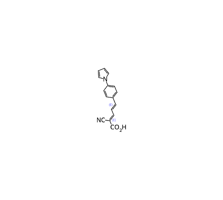 N#C/C(=C\C=C\c1ccc(-n2cccc2)cc1)C(=O)O